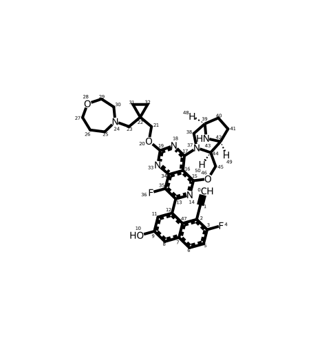 C#Cc1c(F)ccc2cc(O)cc(-c3nc4c5c(nc(OCC6(CN7CCCOCC7)CC6)nc5c3F)N3C[C@H]5CC[C@H](N5)[C@H]3CO4)c12